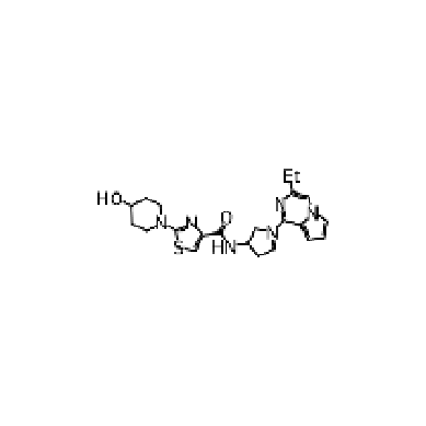 CCc1cn2cccc2c(N2CCC(NC(=O)c3csc(N4CCC(O)CC4)n3)C2)n1